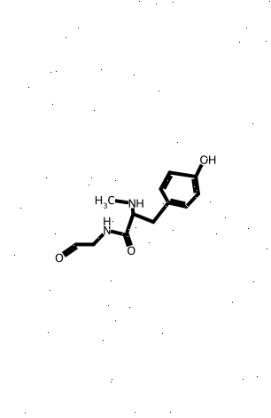 CNC(Cc1ccc(O)cc1)C(=O)NCC=O